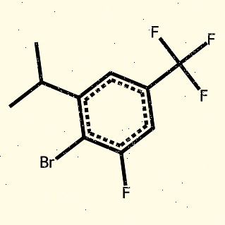 CC(C)c1cc(C(F)(F)F)cc(F)c1Br